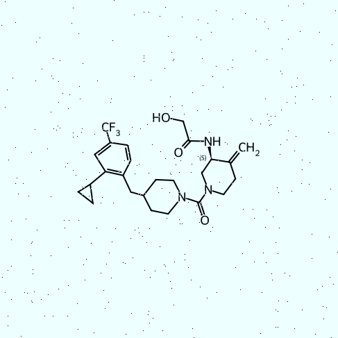 C=C1CCN(C(=O)N2CCC(Cc3ccc(C(F)(F)F)cc3C3CC3)CC2)C[C@H]1NC(=O)CO